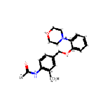 CCC(=O)Nc1ccc(COc2ccccc2N2CCOCC2)cc1C(=O)O